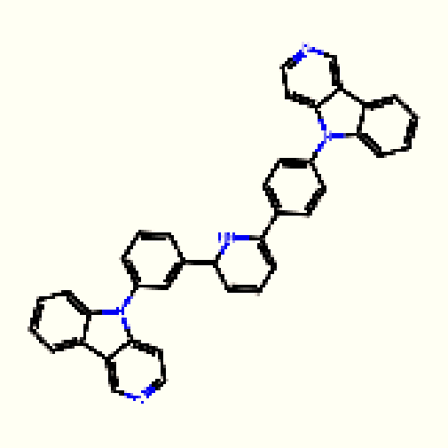 C1=CC(c2cccc(-n3c4ccccc4c4cnccc43)c2)NC(c2ccc(-n3c4ccccc4c4cnccc43)cc2)=C1